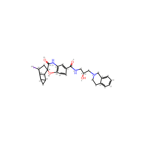 O=C(NC[C@H](O)CN1CCc2ccccc2C1)c1ccc2c(c1)NC(=O)C1(CC3(I)C4C1C1CC143)O2